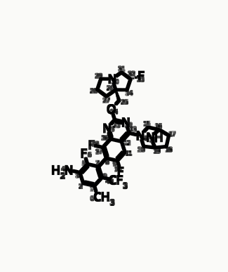 Cc1cc(N)c(F)c(-c2c(F)cc3c(N4CC5CCC(C4)N5)nc(OC[C@@]45CCCN4C[C@H](F)C5)nc3c2F)c1C(F)(F)F